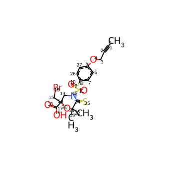 CC#CCOc1ccc(S(=O)(=O)N2CC(CBr)(C(=O)O)OC(C)(C)C2=S)cc1